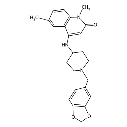 Cc1ccc2c(c1)c(NC1CCN(Cc3ccc4c(c3)OCO4)CC1)cc(=O)n2C